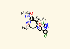 C=C(C)c1sc2cc1-c1ccc(NC(=O)OC)cc1NC(=O)[C@H](C)CCC[C@@H]2N1CCC(c2cc(Cl)ccc2-n2cc(Cl)nn2)=CC1=O